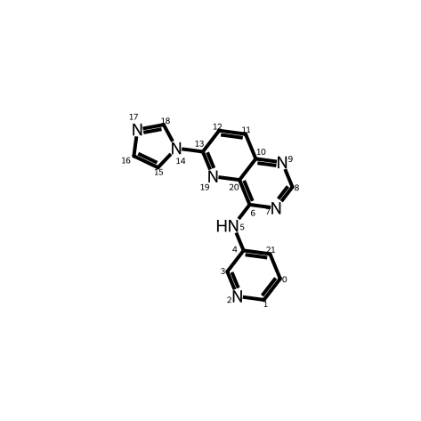 c1cncc(Nc2ncnc3ccc(-n4ccnc4)nc23)c1